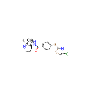 C[C@H]1[C@H](NC(=O)c2ccc(Sc3nc(Cl)cs3)cc2)C2CCN1CC2